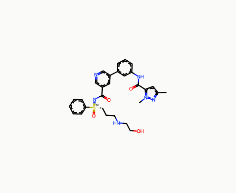 Cc1cc(C(=O)Nc2cccc(-c3cncc(C(=O)N=[S@](=O)(CCCNCCO)c4ccccc4)c3)c2)n(C)n1